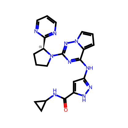 O=C(NC1CC1)c1cc(Nc2nc(N3CCC[C@H]3c3ncccn3)nn3cccc23)n[nH]1